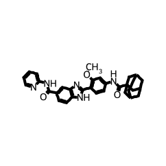 COc1cc(NC(=O)C23CC4CC(CC(C4)C2)C3)ccc1-c1nc2cc(C(=O)Nc3ccccn3)ccc2[nH]1